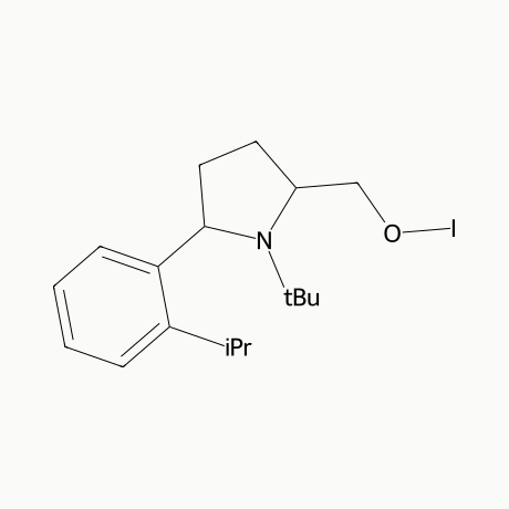 CC(C)c1ccccc1C1CCC(COI)N1C(C)(C)C